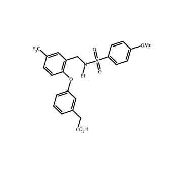 CCN(Cc1cc(C(F)(F)F)ccc1Oc1cccc(CC(=O)O)c1)S(=O)(=O)c1ccc(OC)cc1